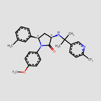 Cc1cccc([C@H]2C[C@@H](NC(C)(C)c3ccc(C(F)(F)F)nc3)C(=O)N2c2ccc(OC(F)(F)F)cc2)c1